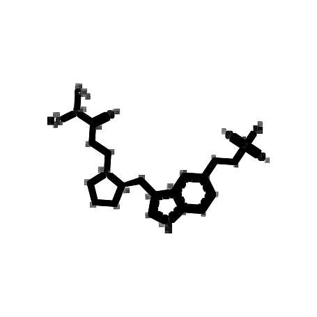 CCS(=O)(=O)CCc1ccc2[nH]cc(C[C@H]3CCCN3CCC(=O)N(C)C)c2c1